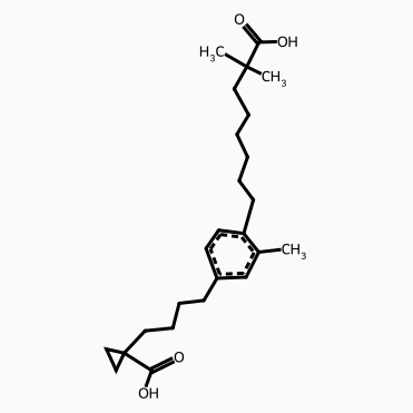 Cc1cc(CCCCC2(C(=O)O)CC2)ccc1CCCCCCC(C)(C)C(=O)O